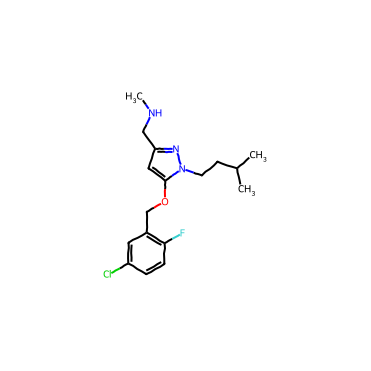 CNCc1cc(OCc2cc(Cl)ccc2F)n(CCC(C)C)n1